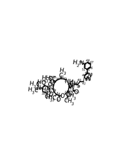 CC[C@H]1OC(=O)C(C)C(=O)[C@@H](C)[C@@H](O[C@@H]2O[C@H](C)CC(N(C)C)C2O)[C@](C)(OC)C[C@@H](C)CN[C@H](C)[C@H]2N(CCCCn3cc(-c4cccc(N)c4)nn3)C(=O)O[C@]12C